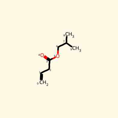 C=CCC(=O)OCC(C)C